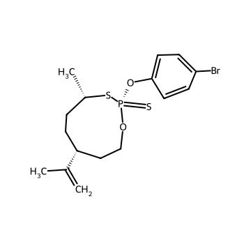 C=C(C)[C@H]1CCO[P@@](=S)(Oc2ccc(Br)cc2)S[C@@H](C)CC1